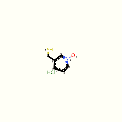 Cl.[O-][n+]1cccc(CS)c1